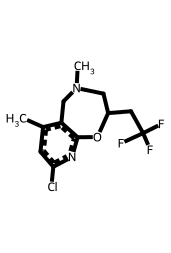 Cc1cc(Cl)nc2c1CN(C)CC(CC(F)(F)F)O2